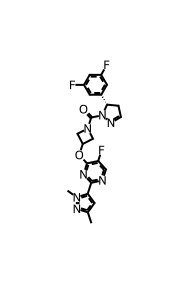 Cc1cc(-c2ncc(F)c(OC3CN(C(=O)N4N=CC[C@H]4c4cc(F)cc(F)c4)C3)n2)n(C)n1